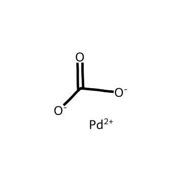 O=C([O-])[O-].[Pd+2]